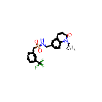 CCN1C(=O)CCc2cc(CNS(=O)(=O)Cc3cccc(C(F)(F)F)c3)ccc21